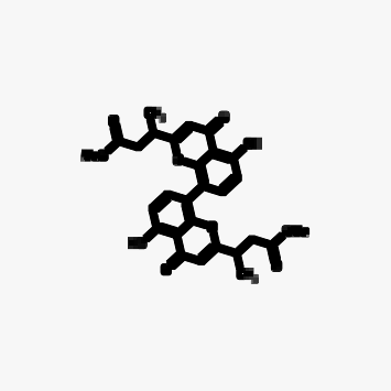 COC(=O)CC(C)c1cc(=O)c2c(O)ccc(-c3ccc(O)c4c(=O)cc(C(C)CC(=O)OC)oc34)c2o1